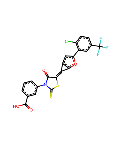 O=C(O)c1cccc(N2C(=O)C(=C3c4cc(-c5cc(C(F)(F)F)ccc5Cl)oc43)SC2=S)c1